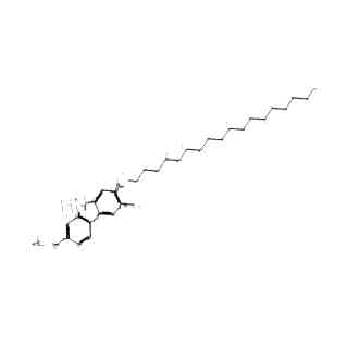 CCCCCCCCCCCCCCCCCCOc1cc2[nH]c3cc(COC)ccc3c2cc1C